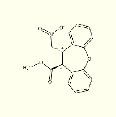 COC(=O)[C@@H]1c2ccccc2Oc2ccccc2[C@H]1C[N+](=O)[O-]